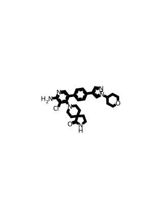 Nc1ncc(-c2ccc(-c3cnn(C4CCOCC4)c3)cc2)c(N2CCC3(CCNC3=O)CC2)c1Cl